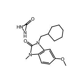 COc1ccc2c(c1)n(CC1CCCCC1)c(=O)n2C.O=C1NN1